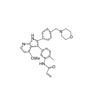 C=CC(=O)Nc1cc(-c2c(-c3ccc(CN4CCOCC4)cc3)[nH]c3nccc(OC)c23)ccc1C